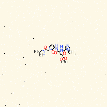 CCC(CC)CNC(=O)Cn1cccc(NC(=O)C(CCC(=O)OC(C)(C)C)NC(=O)c2cncn2C)c1=O